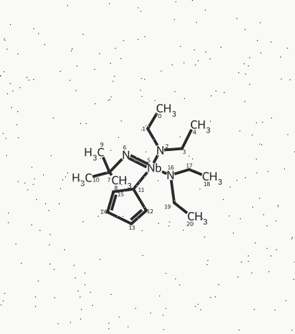 CC[N](CC)[Nb](=[N]C(C)(C)C)([CH]1C=CC=C1)[N](CC)CC